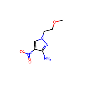 COCCn1cc([N+](=O)[O-])c(N)n1